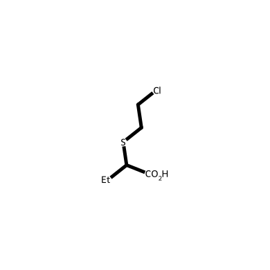 CCC(SCCCl)C(=O)O